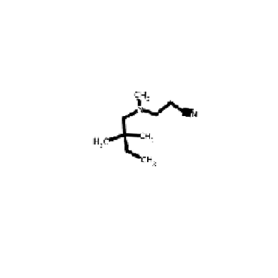 CCC(C)(C)CN(C)CCC#N